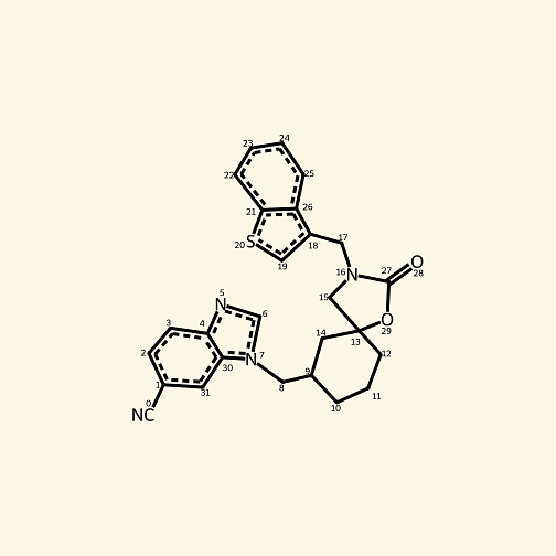 N#Cc1ccc2ncn(CC3CCCC4(C3)CN(Cc3csc5ccccc35)C(=O)O4)c2c1